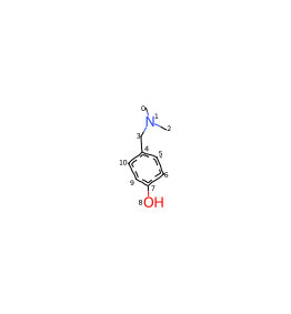 CN(C)Cc1[c]cc(O)cc1